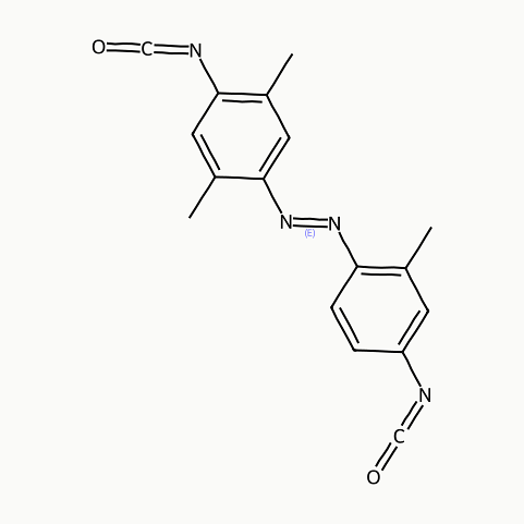 Cc1cc(/N=N/c2ccc(N=C=O)cc2C)c(C)cc1N=C=O